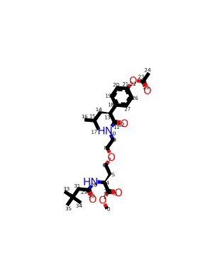 COC(=O)[C@H](CCOCCNC(=O)[C@@H](CC(C)C)c1ccc(OC(C)=O)cc1)NC(=O)CC(C)(C)C